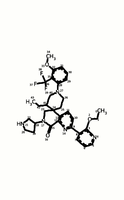 CCOc1ncccc1-c1ccc2c(n1)C(=O)N(C1CCNC1)CC21CCN(c2cccc(OC)c2C(F)(F)F)CC1CC